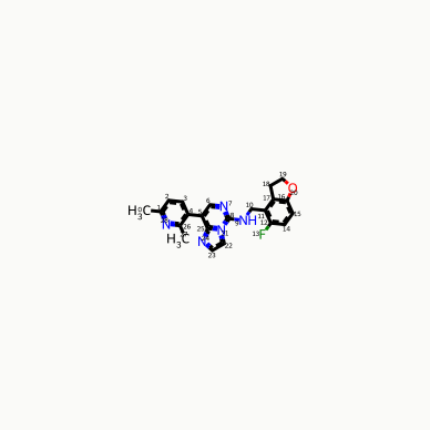 Cc1ccc(-c2cnc(NCc3c(F)ccc4c3CCO4)n3ccnc23)c(C)n1